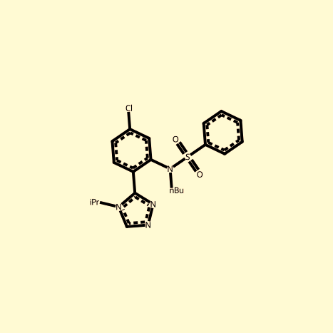 CCCCN(c1cc(Cl)ccc1-c1nncn1C(C)C)S(=O)(=O)c1ccccc1